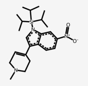 CC(C)[Si](C(C)C)(C(C)C)n1cc(C2=CCN(C)CC2)c2ccc([N+](=O)[O-])cc21